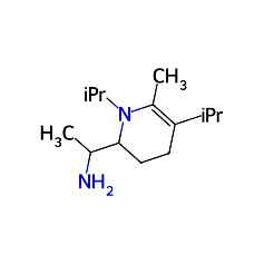 CC1=C(C(C)C)CCC(C(C)N)N1C(C)C